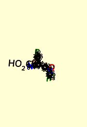 CN(C(=O)O)c1cc2cc(-c3ccc(C(=O)N4CCC(F)(F)CC4)cc3)cc(-c3ccc(F)cc3)c2s1